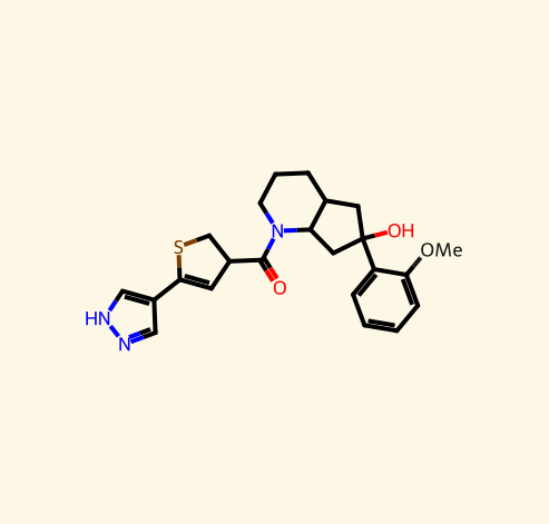 COc1ccccc1C1(O)CC2CCCN(C(=O)C3C=C(c4cn[nH]c4)SC3)C2C1